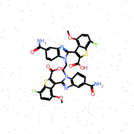 COc1ccc(F)c2sc(C(=O)O)c(-c3nc4cc(C(N)=O)ccc4n3CCn3c(-c4c(C(=O)O)sc5c(F)ccc(OC)c45)nc4cc(C(N)=O)ccc43)c12